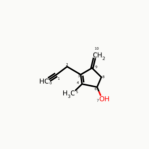 C#CCC1=C(C)C(O)CC1=C